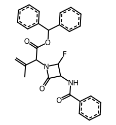 C=C(C)C(C(=O)OC(c1ccccc1)c1ccccc1)N1C(=O)C(NC(=O)c2ccccc2)C1F